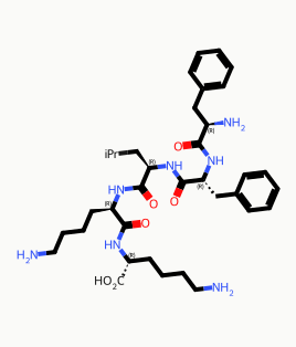 CC(C)C[C@@H](NC(=O)[C@@H](Cc1ccccc1)NC(=O)[C@H](N)Cc1ccccc1)C(=O)N[C@H](CCCCN)C(=O)N[C@H](CCCCN)C(=O)O